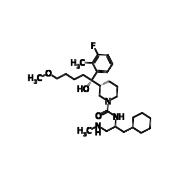 CNCC(CC1CCCCC1)NC(=O)N1CCC[C@@H]([C@@](O)(CCCCOC)c2cccc(F)c2C)C1